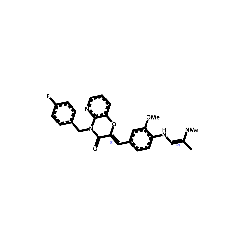 CN/C(C)=C\Nc1ccc(/C=C2\Oc3cccnc3N(Cc3ccc(F)cc3)C2=O)cc1OC